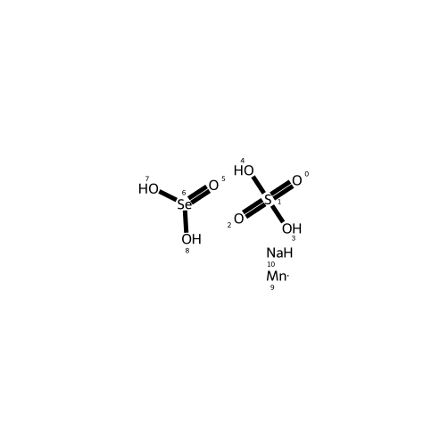 O=S(=O)(O)O.O=[Se](O)O.[Mn].[NaH]